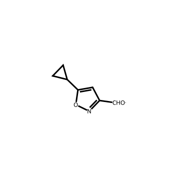 O=[C]c1cc(C2CC2)on1